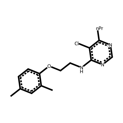 CCCc1ncnc(NCCOc2ccc(C)cc2C)c1Cl